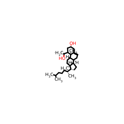 [CH2]C(O)C1C[C@H](O)CC2=CC[C@H]3[C@@H]4CC[C@H]([C@H](C)CCCC(C)C)[C@@]4(C)CC[C@@H]3[C@]21C